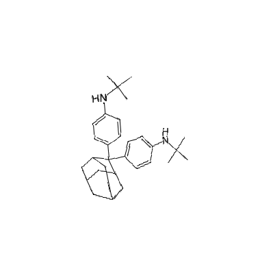 CC(C)(C)Nc1ccc(C2(c3ccc(NC(C)(C)C)cc3)C3CC4CC(C3)CC2C4)cc1